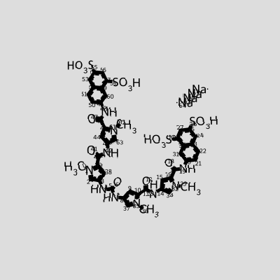 Cn1cc(NC(=O)Nc2cc(C(=O)Nc3cc(C(=O)Nc4ccc5cc(S(=O)(=O)O)cc(S(=O)(=O)O)c5c4)n(C)c3)n(C)c2)cc1C(=O)Nc1cc(C(=O)Nc2ccc3cc(S(=O)(=O)O)cc(S(=O)(=O)O)c3c2)n(C)c1.[Na].[Na].[Na].[Na]